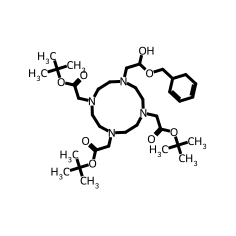 CC(C)(C)OC(=O)CN1CCN(CC(=O)OC(C)(C)C)CCN(CC(O)OCC2C=CC=CC2)CCN(CC(=O)OC(C)(C)C)CC1